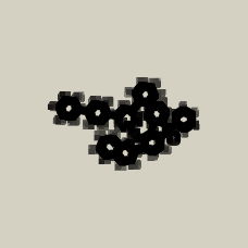 O=P1(c2ccccc2)c2ccccc2-c2c1ccc1c3ccc4ccccc4c3n(-c3nc(-c4ccccc4)cc(-c4ccc(-c5ccccc5)cc4)n3)c21